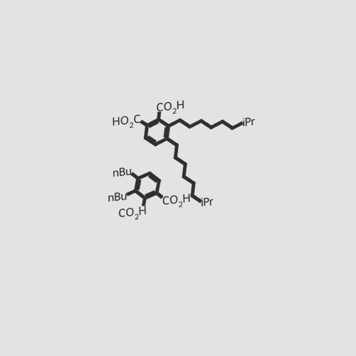 CC(C)CCCCCCc1ccc(C(=O)O)c(C(=O)O)c1CCCCCCC(C)C.CCCCc1ccc(C(=O)O)c(C(=O)O)c1CCCC